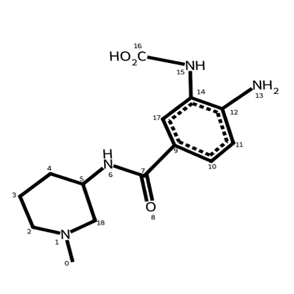 CN1CCCC(NC(=O)c2ccc(N)c(NC(=O)O)c2)C1